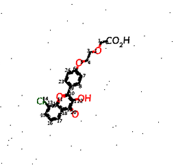 O=C(O)COCCOc1ccc(-c2oc3c(Cl)cccc3c(=O)c2O)cc1